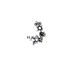 CS(=O)(=O)c1ccc(-c2cnc(-n3cnn(C/C(=C\F)CN)c3=O)s2)cc1.Cl